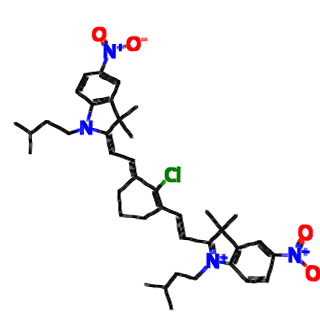 CC(C)CCN1/C(=C/C=C2\CCCC(/C=C/C3=[N+](CCC(C)C)c4ccc([N+](=O)[O-])cc4C3(C)C)=C2Cl)C(C)(C)c2cc([N+](=O)[O-])ccc21